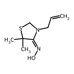 C=CCN1[CH]SC(C)(C)C1=NO